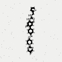 O=C(NCc1cccs1)Nc1cc(F)c(C2CCC(=NOC3CCN(c4ncc(F)cn4)CC3)CC2)cc1F